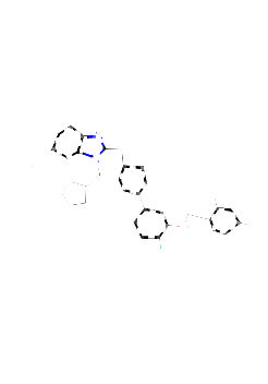 O=C(O)c1ccc2nc(Cc3ccc(-c4ccc(F)c(OCc5ccc(Cl)cc5F)c4)cc3F)n(CC3CCCO3)c2c1